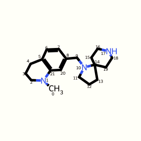 CN1CCCc2ccc(CN3CCCC34CCNCC4)cc21